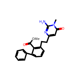 COC(=O)c1c(CCc2cc(=O)n(C)c(N)n2)cccc1-c1ccccc1